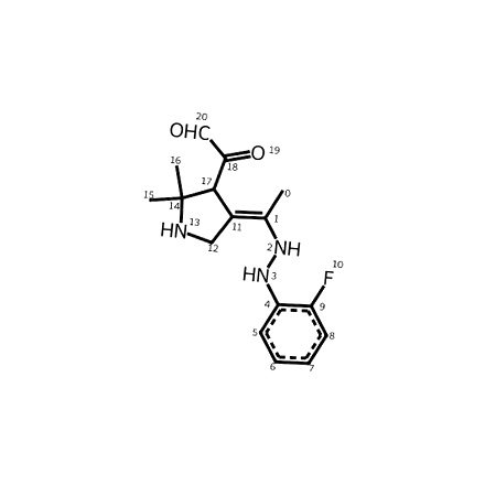 CC(NNc1ccccc1F)=C1CNC(C)(C)C1C(=O)C=O